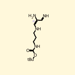 CC(C)(C)OC(=O)NCCCN/C=C(/N)C=N